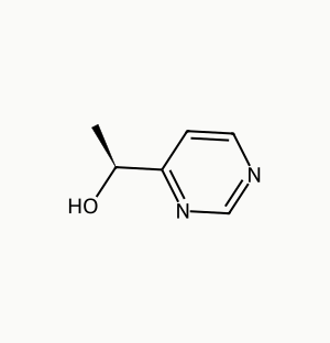 C[C@H](O)c1ccncn1